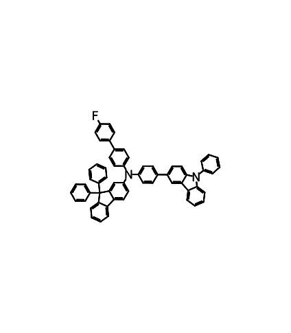 Fc1ccc(-c2ccc(N(c3ccc(-c4ccc5c(c4)c4ccccc4n5-c4ccccc4)cc3)c3ccc4c(c3)C(c3ccccc3)(c3ccccc3)c3ccccc3-4)cc2)cc1